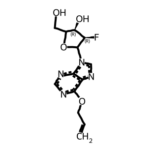 C=CCOc1ncnc2c1ncn2C1OC(CO)[C@@H](O)[C@H]1F